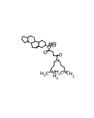 CN(C)CCCN(CCCN(C)C)C(=O)CCC(=O)OC1CCC2C(=CCC3C4CCCC4CCC23)C1.Cl.Cl